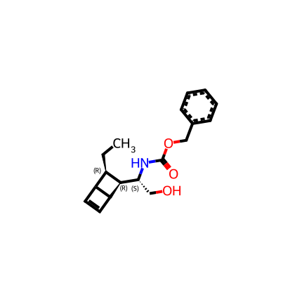 CC[C@@H]1C2C=CC2[C@@H]1[C@@H](CO)NC(=O)OCc1ccccc1